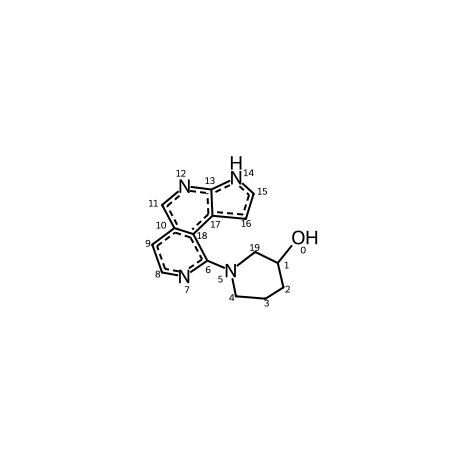 OC1CCCN(c2nccc3cnc4[nH]ccc4c23)C1